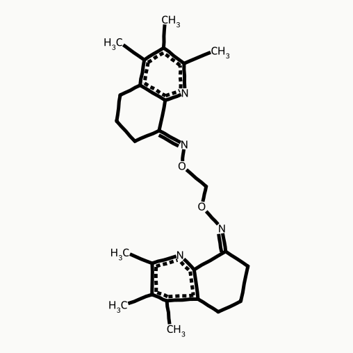 Cc1nc2c(c(C)c1C)CCC/C2=N/OCO/N=C1\CCCc2c1nc(C)c(C)c2C